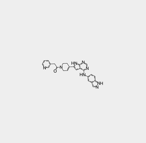 O=C(Cc1cccnc1)N1CC=C(c2cc3c(Nc4ccc5[nH]ncc5c4)ncnc3[nH]2)CC1